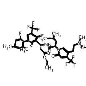 CCOC(=O)C[C@H](NC(=O)C(CC(C)C)n1cc(CCN(C)C)c(C(F)(F)F)cc1=O)c1c(F)c(-c2c(C)cc(C)cc2F)cc(C(F)(F)F)c1F